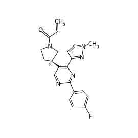 C=CC(=O)N1CC[C@H](c2cnc(-c3ccc(F)cc3)nc2-c2ccn(C)n2)C1